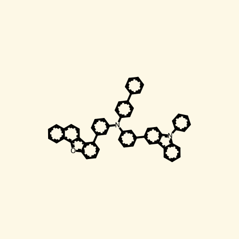 c1ccc(-c2ccc(N(c3cccc(-c4ccc5c(c4)c4ccccc4n5-c4ccccc4)c3)c3cccc(-c4cccc5oc6c7ccccc7ccc6c45)c3)cc2)cc1